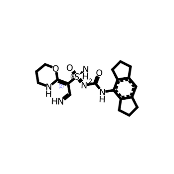 N=C/C(=C1\NCCCO1)[S@](N)(=O)=NC(=O)Nc1c2c(cc3c1CCC3)CCC2